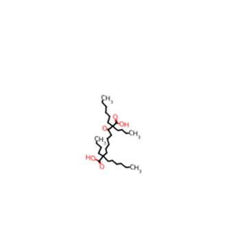 CCCCCCC(CCCC)(CCCCCC(=O)C(CCCC)(CCCCCC)C(=O)O)C(=O)O